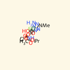 CNc1nc(N)nc2c1ncn2[C@@H]1O[C@H](CO[P@](=O)(N[C@@H](C)C(=O)OC(C)C)Oc2ccccc2)[C@@H](O)[C@]1(F)Cl